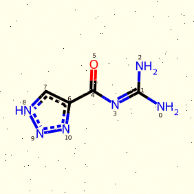 NC(N)=NC(=O)c1c[nH]nn1